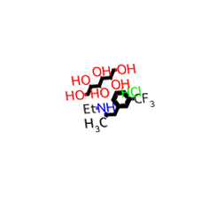 CCNC(C)Cc1cccc(C(F)(F)F)c1.Cl.OC[C@@H](O)[C@@H](O)[C@H](O)[C@H](O)CO